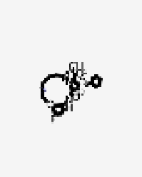 CN1CN2CCCCC/C=C/CCOc3cc(F)ccc3CNC(=O)c3cn2c(c(OCc2ccccc2)c3=O)C1=O